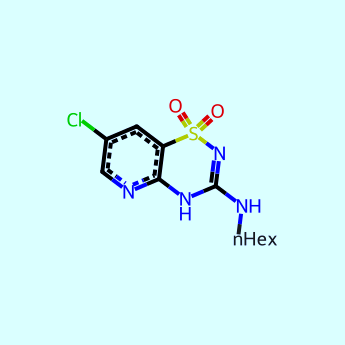 CCCCCCNC1=NS(=O)(=O)c2cc(Cl)cnc2N1